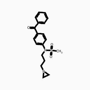 CS(=O)(=O)N(CCCN1CC1)c1ccc(C(=O)c2ccccc2)cc1